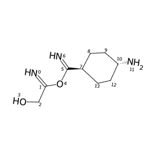 N=C(CO)OC(=N)[C@H]1CC[C@H](N)CC1